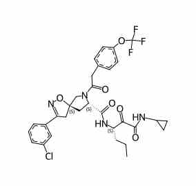 CCC[C@H](NC(=O)[C@@H]1C[C@]2(CC(c3cccc(Cl)c3)=NO2)CN1C(=O)Cc1ccc(OC(F)(F)F)cc1)C(=O)C(=O)NC1CC1